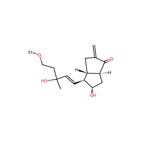 C=C1C[C@H]2[C@H](C=CC(C)(O)CCOCC)[C@H](O)C[C@@H]2C1=O